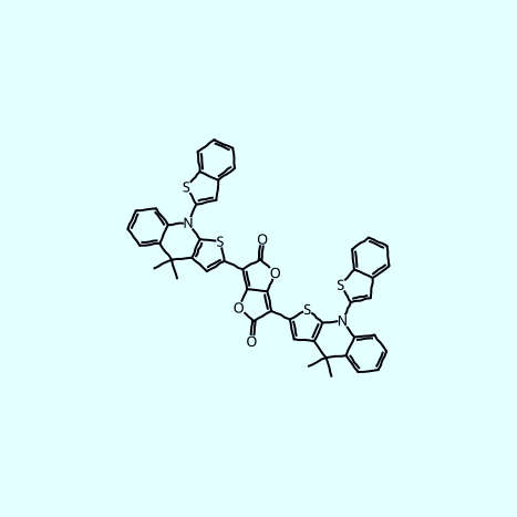 CC1(C)c2ccccc2N(c2cc3ccccc3s2)c2sc(C3=C4OC(=O)C(c5cc6c(s5)N(c5cc7ccccc7s5)c5ccccc5C6(C)C)=C4OC3=O)cc21